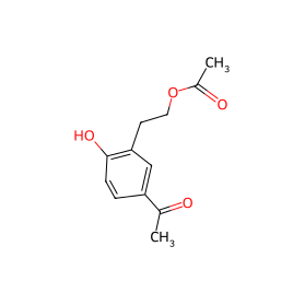 CC(=O)OCCc1cc(C(C)=O)ccc1O